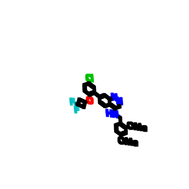 COc1ccc(CNc2cnnc3cc(-c4cc(Cl)ccc4OC4CC(F)(F)C4)ccc23)c(OC)c1